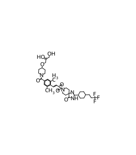 Cc1cc(C(=O)N2CCC(OC[C@@H](O)CO)CC2)cc(C)c1C=CS(=O)(=O)N1CCC2(CC1)N=C(C1CCC(CCC(F)(F)F)CC1)NC2=O